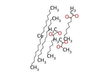 CC(=O)C(C)=O.CCCCCCCC(=O)C(C)=O.CCCCCCCC(=O)C(C)=O.CCCCCCCCCCCCCCC.CCCCCCCCCCCCCCCCCCCCC.[Co]